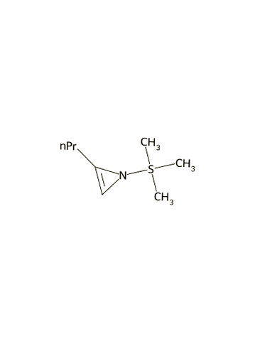 CCCC1=CN1S(C)(C)C